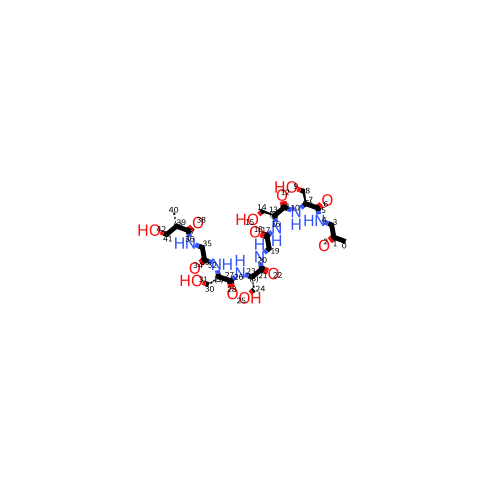 CC(=O)CNC(=O)[C@H](CO)NC(=O)[C@H](CO)NC(=O)CNC(=O)[C@H](CO)NC(=O)[C@H](CO)NC(=O)CNC(=O)[C@@H](C)CO